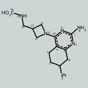 CC(C)C1CCc2c(nc(N)nc2N2CC(CNC(=O)O)C2)C1